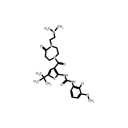 COc1cccc(NC(=O)Nc2sc(C(C)(C)C)cc2C(=O)N2CCC(=O)N(CCN(C)C)CC2)c1Cl